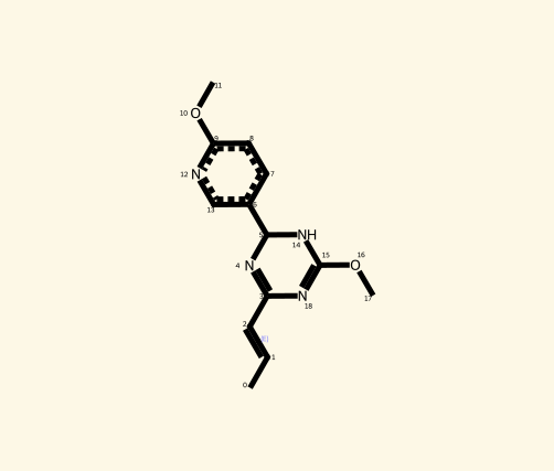 C/C=C/C1=NC(c2ccc(OC)nc2)NC(OC)=N1